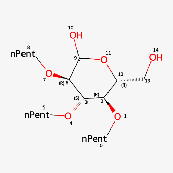 CCCCCO[C@H]1[C@H](OCCCCC)[C@@H](OCCCCC)[C](O)O[C@@H]1CO